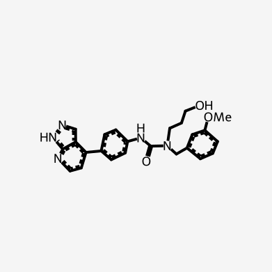 COc1cccc(CN(CCCO)C(=O)Nc2ccc(-c3ccnc4[nH]ncc34)cc2)c1